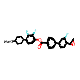 COC1CCC(c2ccc(OC(=O)c3ccc(-c4ccc(C5CO5)c(F)c4)cc3)c(F)c2F)CC1